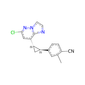 Cc1cc([C@H]2C[C@@H]2c2cc(Cl)nn3ccnc23)ccc1C#N